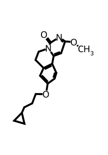 COc1cc2n(c(=O)n1)CCc1cc(OCCCC3CC3)ccc1-2